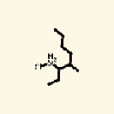 CCCCC(C)C(CC)[SiH2]Cl